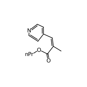 CCCOC(=O)C(C)=Cc1ccncc1